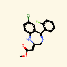 COC(=O)/C=C1/CN=C(c2ccccc2F)c2cc(Cl)ccc2N1